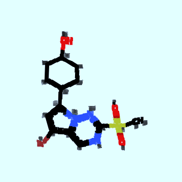 CS(=O)(=O)c1ncc2c(Br)cc(C3CCC(O)CC3)n2n1